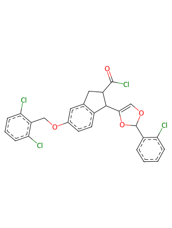 O=C(Cl)C1Cc2cc(OCc3c(Cl)cccc3Cl)ccc2C1C1=COC(c2ccccc2Cl)O1